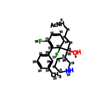 CC(=O)NCCC[C@](O)([C@@H]1CCCNC1)C1(F)CC=CC(F)=C1c1cccc(C)c1